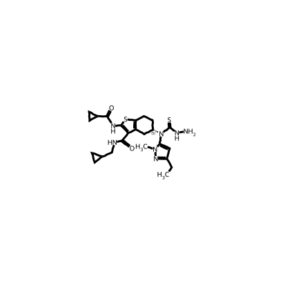 CCc1cc(N(C(=S)NN)[C@H]2CCc3sc(NC(=O)C4CC4)c(C(=O)NCC4CC4)c3C2)n(C)n1